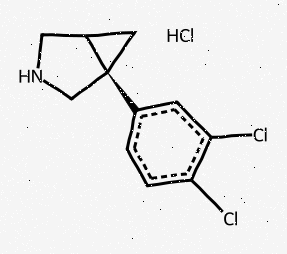 Cl.Clc1ccc([C@@]23CNCC2C3)cc1Cl